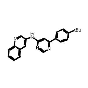 CC(C)(C)c1ccc(-c2cc(Nc3cnc4ccccc4c3)ncn2)cc1